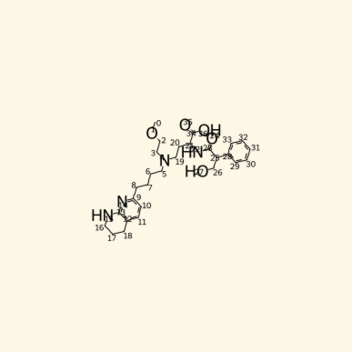 COCCN(CCCCc1ccc2c(n1)NCCC2)CCC(NC(=O)C(CO)c1ccccc1)C(=O)O